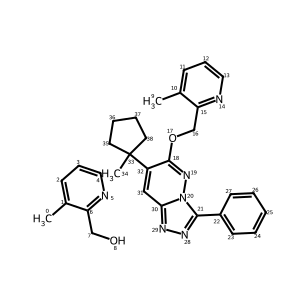 Cc1cccnc1CO.Cc1cccnc1COc1nn2c(-c3ccccc3)nnc2cc1C1(C)CCCC1